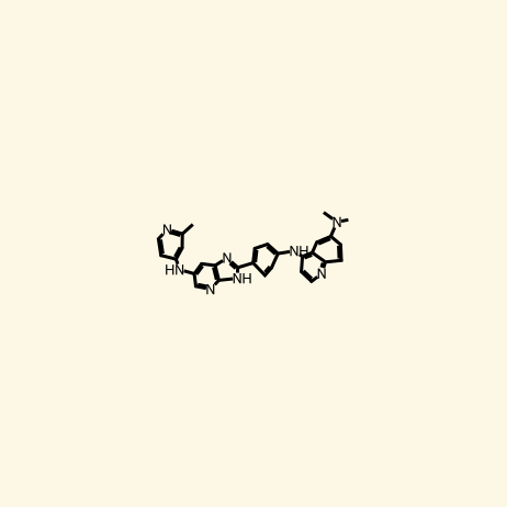 Cc1cc(Nc2cnc3[nH]c(-c4ccc(Nc5ccnc6ccc(N(C)C)cc56)cc4)nc3c2)ccn1